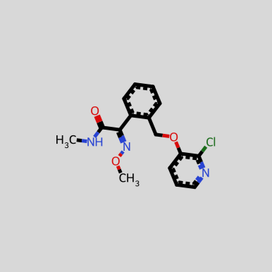 CNC(=O)C(=NOC)c1ccccc1COc1cccnc1Cl